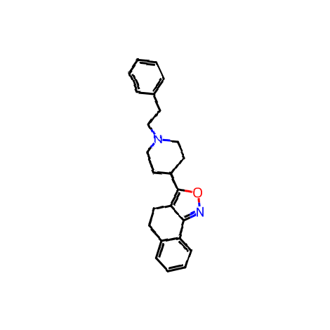 c1ccc(CCN2CCC(c3onc4c3CCc3ccccc3-4)CC2)cc1